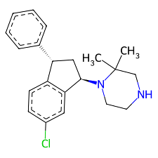 CC1(C)CNCCN1[C@@H]1C[C@@H](c2ccccc2)c2ccc(Cl)cc21